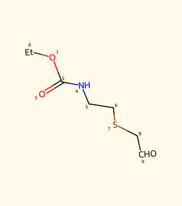 CCOC(=O)NCCSCC=O